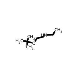 CCNCCOC(C)(C)C